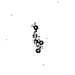 O=C(Nc1cccc2[nH]c3c(N4CCN(CCc5ccc(F)c(F)c5)CC4)ncnc3c12)c1ccccc1